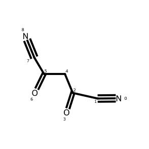 N#CC(=O)CC(=O)C#N